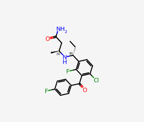 CC[C@@H](N[C@@H](C)CC(N)=O)c1ccc(Cl)c(C(=O)c2ccc(F)cc2)c1F